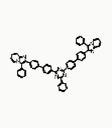 c1ccc(-c2nc(-c3ccc(-c4ccc(-c5nc6ccccn6c5-c5ccccc5)cc4)cc3)nc(-c3ccc(-c4ccc(-c5nc6ccccn6c5-c5ccccc5)cc4)cc3)n2)cc1